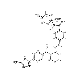 Cc1nnc(-c2ccc(C(=O)N3CCCC[C@@H]3COc3ccc4c(c3)CN(C3(C=O)CCC(=O)NC3)C4=O)cc2)o1